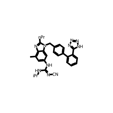 CCCc1nc2c(C)cc(N/C(=N\C#N)NC(C)C)cc2n1Cc1ccc(-c2ccccc2-c2nnn[nH]2)cc1